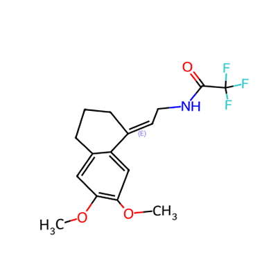 COc1cc2c(cc1OC)/C(=C/CNC(=O)C(F)(F)F)CCC2